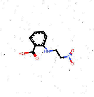 O=C(O)c1ccccc1NCC[N+](=O)[O-]